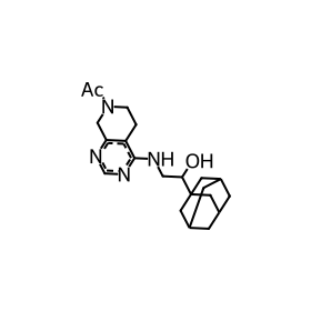 CC(=O)N1CCc2c(ncnc2NCC(O)C23CC4CC(CC(C4)C2)C3)C1